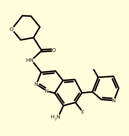 Cc1ccncc1-c1cc2cc(NC(=O)C3CCCOC3)nnc2c(N)c1F